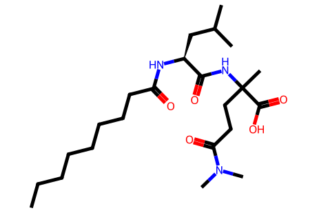 CCCCCCCCC(=O)N[C@@H](CC(C)C)C(=O)NC(C)(CCC(=O)N(C)C)C(=O)O